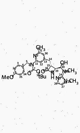 COc1ccc(CN(C(=O)OC(C)(C)C)c2cc(C[C@H]3C(=O)N[C@@H]3C(O)N(C)c3nccn3C)cc(C)n2)cc1